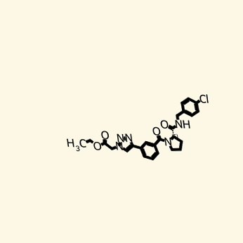 CCOC(=O)Cn1cc(-c2cccc(C(=O)N3CCC[C@H]3C(=O)NCc3ccc(Cl)cc3)c2)nn1